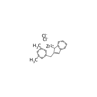 Cc1cc(C)cc(CC2=Cc3ccccc3[CH]2[Zr+2])c1.[Cl-].[Cl-]